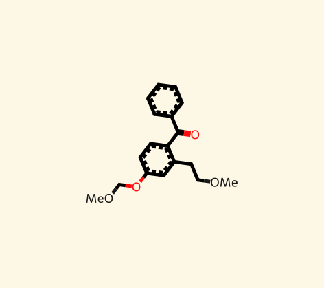 COCCc1cc(OCOC)ccc1C(=O)c1ccccc1